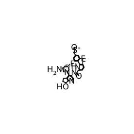 C[C@@H]1C[C@H](N)CN(c2c(NC(=O)c3ccc(F)c(-c4c(F)cc(C[S+]=O)cc4F)n3)cnc3c2CCC3O)C1